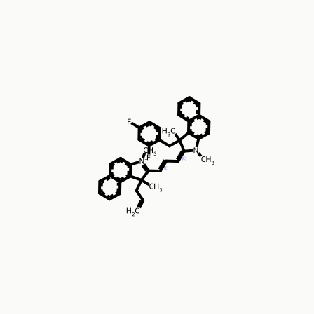 C=CCC1(C)C(/C=C/C=C2/N(C)c3ccc4ccccc4c3C2(C)Cc2ccc(F)cc2F)=[N+](C)c2ccc3ccccc3c21